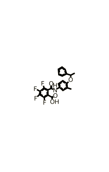 Cc1cc(NC(=O)c2c(F)c(F)c(F)c(F)c2C(=O)O)ccc1OC(C)c1ccccc1